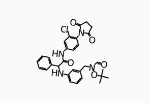 CC(C)(C)ON(C=O)Cc1cccc(NC(C(=O)Nc2ccc(N3C(=O)CCC3=O)c(Cl)c2)c2ccccc2)c1